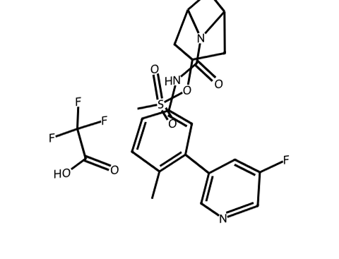 Cc1ccc(NC(=O)N2C3CC(OS(C)(=O)=O)CC2C3)cc1-c1cncc(F)c1.O=C(O)C(F)(F)F